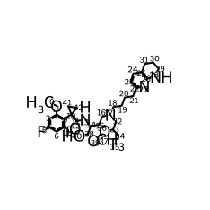 COc1cc(F)cc(F)c1C1(C(=O)NC(CCN(CCCCc2ccc3c(n2)NCCC3)CC(CF)OC)C(=O)O)CC1